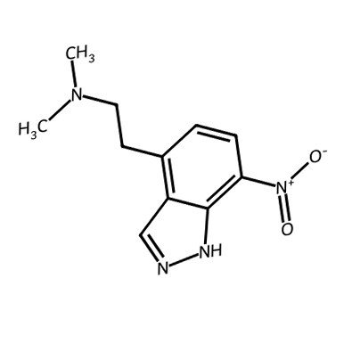 CN(C)CCc1ccc([N+](=O)[O-])c2[nH]ncc12